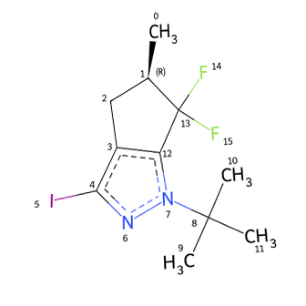 C[C@@H]1Cc2c(I)nn(C(C)(C)C)c2C1(F)F